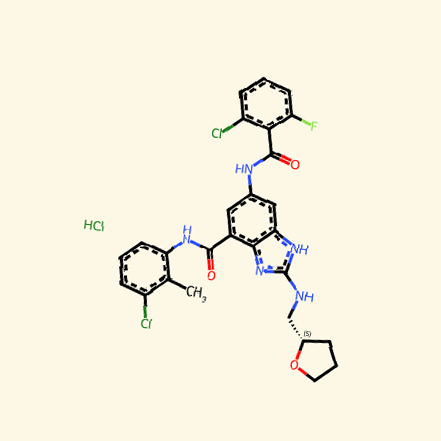 Cc1c(Cl)cccc1NC(=O)c1cc(NC(=O)c2c(F)cccc2Cl)cc2[nH]c(NC[C@@H]3CCCO3)nc12.Cl